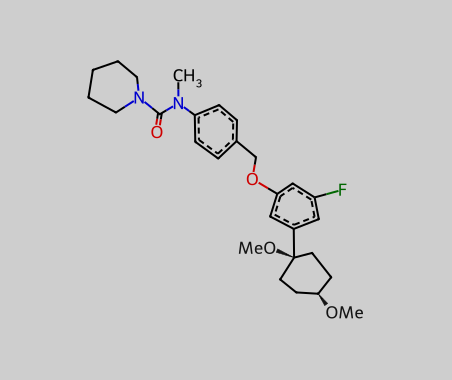 CO[C@H]1CC[C@](OC)(c2cc(F)cc(OCc3ccc(N(C)C(=O)N4CCCCC4)cc3)c2)CC1